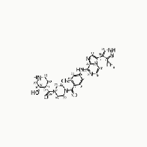 O=C(c1ccc(Nc2nccn3c(-c4c[nH]nc4C(F)(F)F)cnc23)cc1Cl)N1CCN(C(=O)[C@H]2CCNC[C@H]2O)CC1